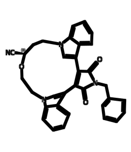 N#C[C@H]1CCn2cc(c3ccccc32)C2=C(C(=O)N(Cc3ccccc3)C2=O)c2cn(c3ccccc23)CCO1